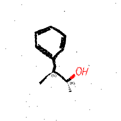 C[C@@H](O)[C@@H](C)c1ccccc1